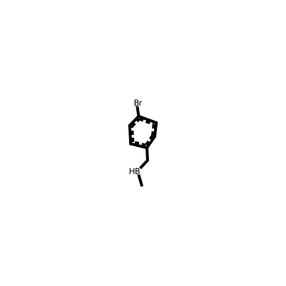 CBCc1ccc(Br)cc1